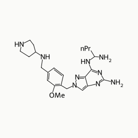 CCCC(N)Nc1nc(N)nc2cn(Cc3ccc(CNC4CCNCC4)cc3OC)nc12